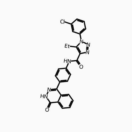 CCc1c(C(=O)Nc2ccc(-c3n[nH]c(=O)c4ccccc34)cc2)nnn1-c1cccc(Cl)c1